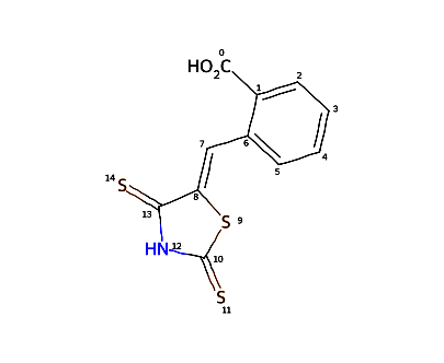 O=C(O)c1ccccc1C=C1SC(=S)NC1=S